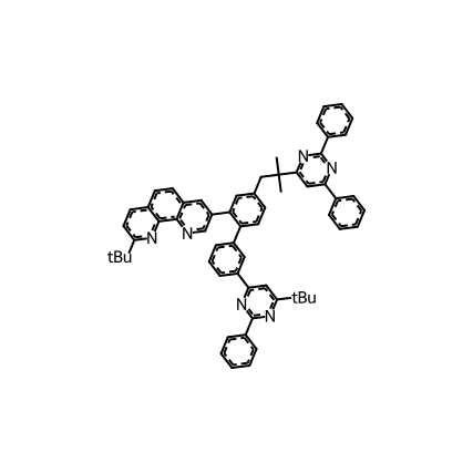 CC(C)(C)c1cc(-c2cccc(-c3ccc(CC(C)(C)c4cc(-c5ccccc5)nc(-c5ccccc5)n4)cc3-c3cnc4c(ccc5ccc(C(C)(C)C)nc54)c3)c2)nc(-c2ccccc2)n1